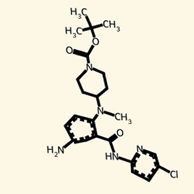 CN(c1ccc(N)cc1C(=O)Nc1ccc(Cl)cn1)C1CCN(C(=O)OC(C)(C)C)CC1